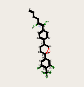 C=CCC/C(F)=C(\F)c1ccc(C2CCC(c3cc(F)c(C(F)(F)F)c(F)c3)OC2)cc1